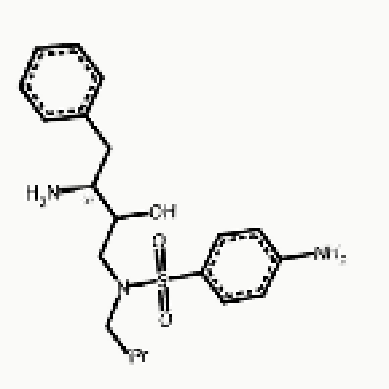 CC(C)CN(CC(O)[C@@H](N)Cc1ccccc1)S(=O)(=O)c1ccc(N)cc1